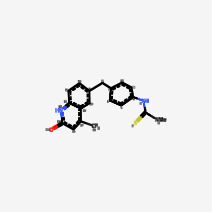 CNC(=S)Nc1ccc(Cc2ccc3[nH]c(=O)cc(C(F)(F)F)c3c2)cc1